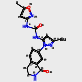 Cc1cc(NC(=O)Nc2cc(C(C)(C)C)nn2-c2ccc3c(c2)C(=O)NCC3)no1